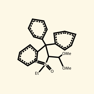 CCS(=O)(=O)C([C](OC)OC)C(c1ccccc1)(c1ccccc1)c1ccccc1